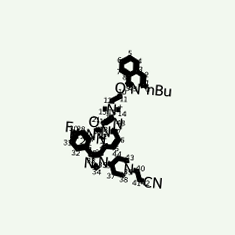 CCCCc1cc2ccccc2c(OCC[N+](C)(C)C2=C[N+]3(C(N)=O)N=C(c4c(-c5ccc(F)cc5)ncn4C4CCN(CCC#N)CC4)C=CC3=N2)n1